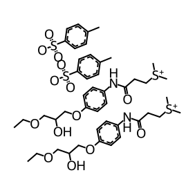 CCOCC(O)COc1ccc(NC(=O)CC[S+](C)C)cc1.CCOCC(O)COc1ccc(NC(=O)CC[S+](C)C)cc1.Cc1ccc(S(=O)(=O)[O-])cc1.Cc1ccc(S(=O)(=O)[O-])cc1